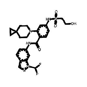 O=C(Nc1ccc2cnn(C(F)F)c2c1)c1ccc(NS(=O)(=O)CCO)cc1N1CCC2(CC1)CC2